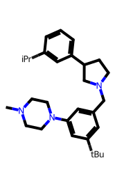 CC(C)c1cccc(C2CCN(Cc3cc(N4CCN(C)CC4)cc(C(C)(C)C)c3)C2)c1